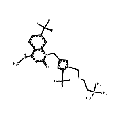 CNc1nc(=O)n(Cc2cn(COCC[Si](C)(C)C)c(C(F)(F)F)n2)c2cc(C(F)(F)F)ccc12